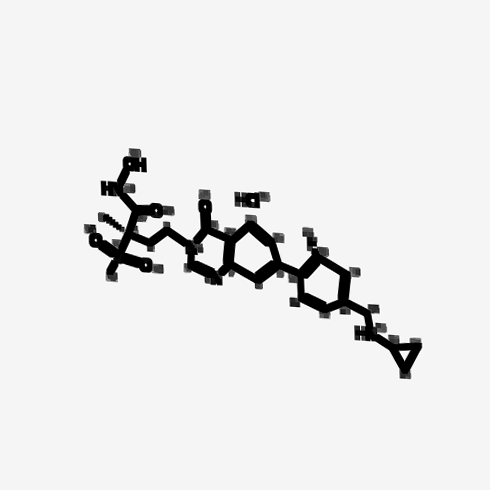 C[C@@](CCn1cnc2cc(-c3ccc(CNC4CC4)cc3F)ccc2c1=O)(C(=O)NO)S(C)(=O)=O.Cl